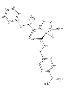 N=C(N)c1ccc(CNC(=O)[C@]23C[C@H]2CCN3C(=O)[C@@H](N)Cc2ccccc2)cc1